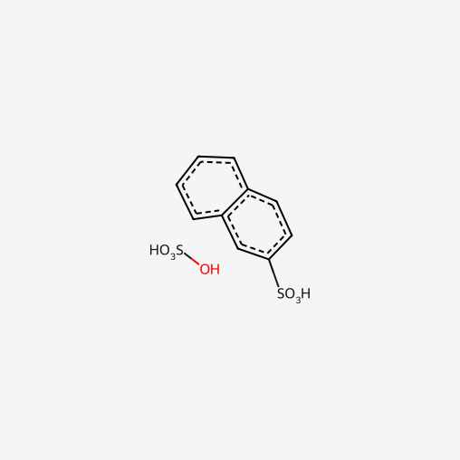 O=S(=O)(O)O.O=S(=O)(O)c1ccc2ccccc2c1